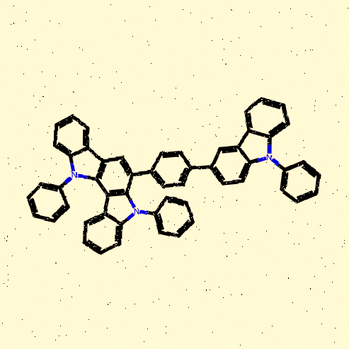 c1ccc(-n2c3ccccc3c3cc(-c4ccc(-c5cc6c7ccccc7n(-c7ccccc7)c6c6c7ccccc7n(-c7ccccc7)c56)cc4)ccc32)cc1